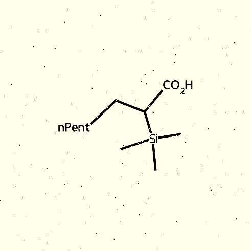 CCCCCCC(C(=O)O)[Si](C)(C)C